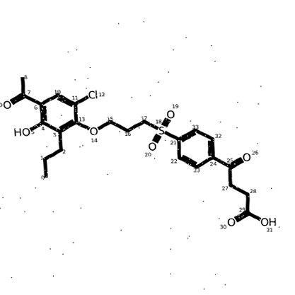 CCCc1c(O)c(C(C)=O)cc(Cl)c1OCCCS(=O)(=O)c1ccc(C(=O)CCC(=O)O)cc1